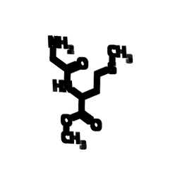 COC(=O)C(CCSC)NC(=O)CN